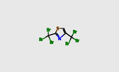 BrC(Br)(Br)c1csc(C(Br)(Br)Br)n1